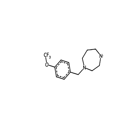 FC(F)(F)Oc1ccc(CN2CCC[N]CC2)cc1